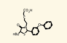 CCCCC1SC(c2cccc(Oc3ccccc3)c2)N(CCCCC(=O)O)C1=O